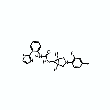 O=C(Nc1ccccc1-c1nccs1)N[C@H]1[C@@H]2CN(c3ccc(F)cc3F)C[C@@H]21